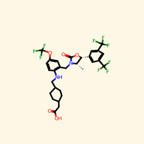 C[C@H]1[C@@H](c2cc(C(F)(F)F)cc(C(F)(F)F)c2)OC(=O)N1Cc1cc(OC(F)(F)F)ccc1NCC1CCC(CC(=O)O)CC1